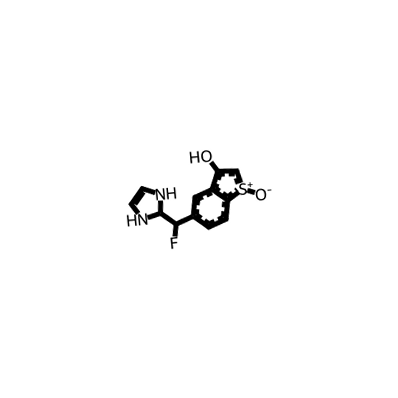 [O-][s+]1cc(O)c2cc(C(F)C3NC=CN3)ccc21